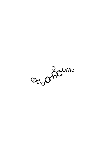 COc1ccc2oc(-c3ccc(OC4CC5(COC5)C4)cc3)cc(=O)c2c1